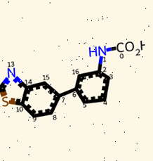 O=C(O)Nc1cccc(-c2ccc3scnc3c2)c1